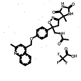 CC(=O)NCC1(c2ccc(OCc3cc(C)nc4ccccc34)cc2)CC(C2(C)NC(=O)NC2=O)=NO1.O=C(O)C(F)(F)F